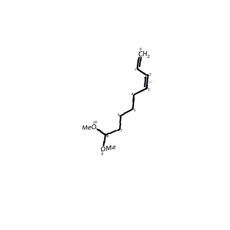 C=C/C=C\CCCCC(OC)OC